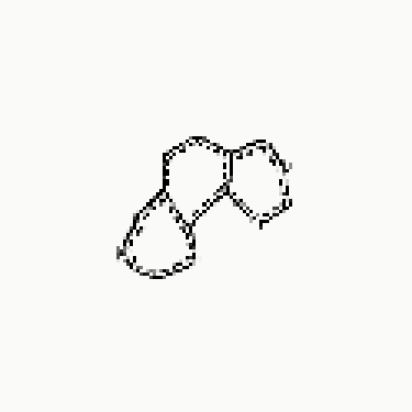 c1ncc2ccc3cncnc3c2n1